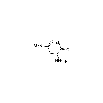 CCNC(CC(=O)NC)C(=O)CC